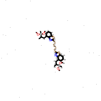 CO[Si](C)(OC)C(C)Cc1cccc2sc(SSSSc3nc4c(CC(C)[Si](C)(OC)OC)cccc4s3)nc12